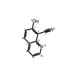 N#Cc1c(O)ccc2cccnc12